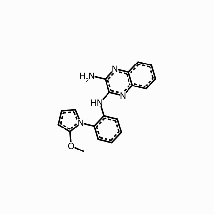 COc1cccn1-c1ccccc1Nc1nc2ccccc2nc1N